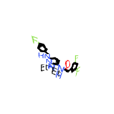 CCN(CC)c1nc(NCc2ccc(F)cc2)ccc1NC(=O)Cc1cc(F)cc(F)c1